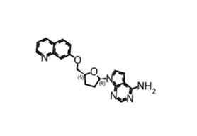 Nc1ncnc2c1ccn2[C@H]1CC[C@@H](COc2ccc3cccnc3c2)O1